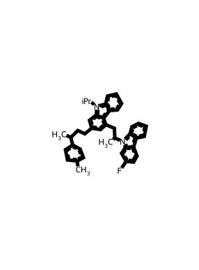 Cc1ccc(C(C)CCc2cc(CC(C)n3c4ccccc4c4ccc(F)cc43)c3c4ccccc4n(C(C)C)c3c2)cc1